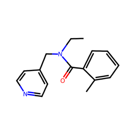 CCN(Cc1ccncc1)C(=O)c1ccccc1C